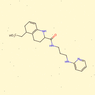 O=C(O)CC1CC=CC2=C1CCC(C(=O)NCCCNc1ccccn1)N2